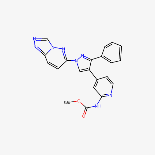 CC(C)(C)OC(=O)Nc1cc(-c2cn(-c3ccc4nncn4n3)nc2-c2ccccc2)ccn1